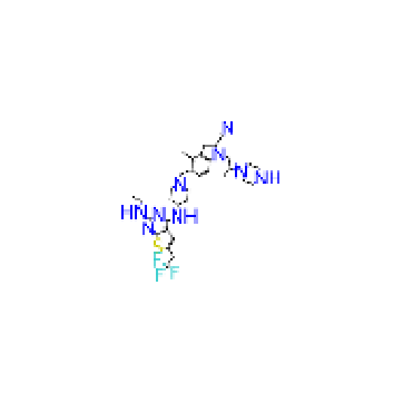 CCNc1nc(NC2CCN(Cc3ccc4c(cc(C#N)n4C[C@H](C)N4CCNCC4)c3C)CC2)c2cc(CC(F)(F)F)sc2n1